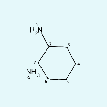 N.NC1CCCCC1